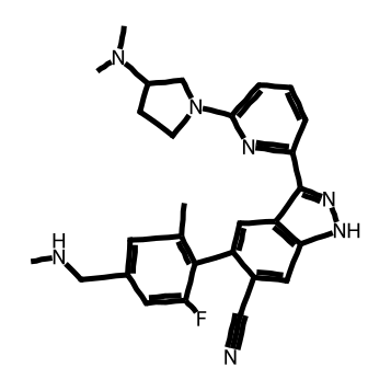 CNCc1cc(C)c(-c2cc3c(-c4cccc(N5CCC(N(C)C)C5)n4)n[nH]c3cc2C#N)c(F)c1